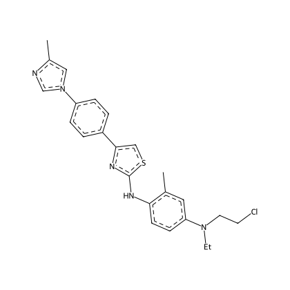 CCN(CCCl)c1ccc(Nc2nc(-c3ccc(-n4cnc(C)c4)cc3)cs2)c(C)c1